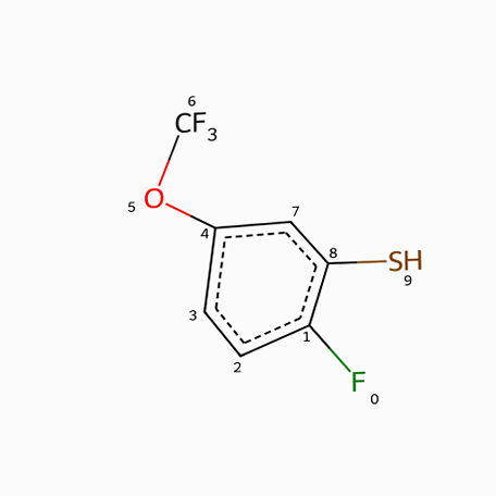 Fc1ccc(OC(F)(F)F)cc1S